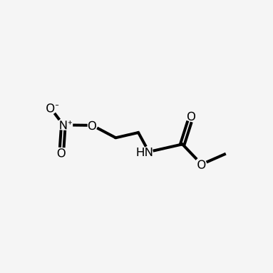 COC(=O)NCCO[N+](=O)[O-]